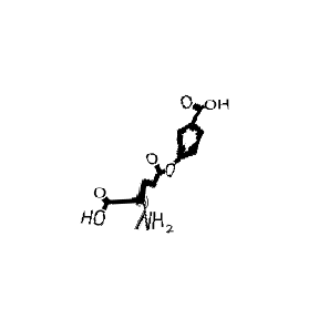 N[C@@H](CCC(=O)Oc1ccc(C(=O)O)cc1)C(=O)O